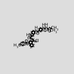 CC(C)C[C@@H](C=O)NC(=O)Nc1ccc(C(=O)Nc2ccc3[nH]c(C(=O)N4C[C@@H](CCl)c5c4cc(OC(=O)N4CCN(C)CC4)c4ccccc54)cc3c2)cc1